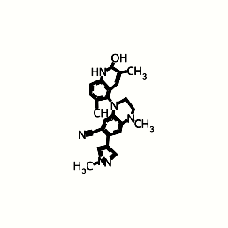 CC1=Cc2c(ccc(C)c2N2CCN(C)c3cc(-c4cnn(C)c4)c(C#N)cc32)NC1O